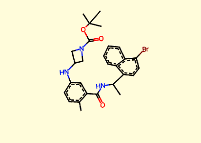 Cc1ccc(NC2CN(C(=O)OC(C)(C)C)C2)cc1C(=O)NC(C)c1ccc(Br)c2ccccc12